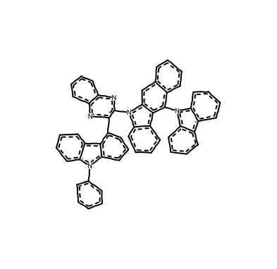 c1ccc(-n2c3ccccc3c3c(-c4nc5ccccc5nc4-n4c5ccccc5c5c(-n6c7ccccc7c7ccccc76)c6ccccc6cc54)cccc32)cc1